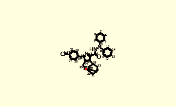 O=C(NN(c1ccccc1)c1ccccc1)c1nn(-c2ccc(Cl)cc2)c2c1C1CC3CC(C1)CC2C3